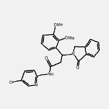 COc1cccc(C(CC(=O)Nc2ccc(Cl)cn2)N2Cc3ccccc3C2=O)c1OC